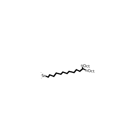 CCCCCCCCC(CCCCCCCC)CCCCCCCCCC[CH2][Sn]